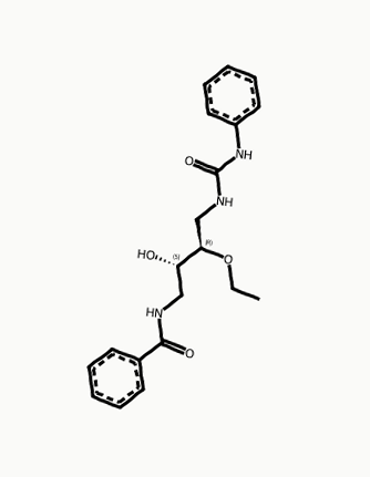 CCO[C@H](CNC(=O)Nc1ccccc1)[C@@H](O)CNC(=O)c1ccccc1